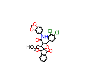 O=C(Nc1ccc2c(c1)OCO2)C1C(c2ccc(Cl)c(Cl)c2)OC2(C(=O)c3ccccc3C2=O)C1C(=O)O